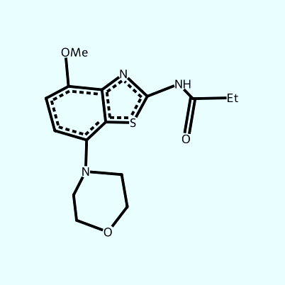 CCC(=O)Nc1nc2c(OC)ccc(N3CCOCC3)c2s1